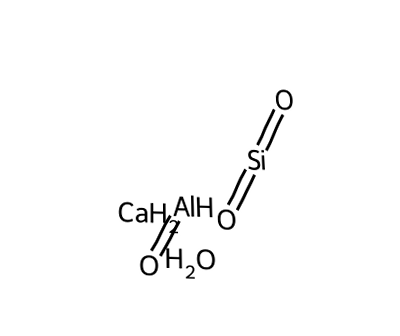 O.O=[Si]=O.[CaH2].[O]=[AlH]